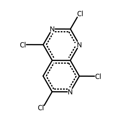 Clc1cc2c(Cl)nc(Cl)nc2c(Cl)n1